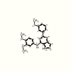 COc1ccc(Nc2nc(-c3cccc(SC)c3)nc3cn[nH]c23)cc1OC